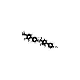 CCCc1ccc(-c2ccc(C(=O)Oc3ccc(-c4ccc(C5CO5)c(F)c4F)cc3)c(F)c2F)cc1